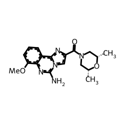 COc1cccc2c1nc(N)n1cc(C(=O)N3C[C@@H](C)O[C@@H](C)C3)nc21